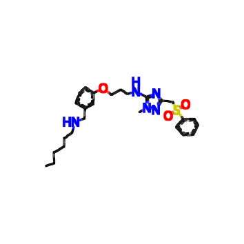 CCCCCCNCc1cccc(OCCCNc2nc(CS(=O)(=O)c3ccccc3)nn2C)c1